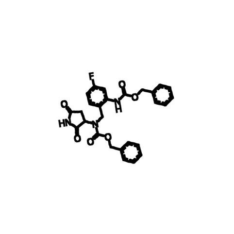 O=C1CC(N(Cc2ccc(F)cc2NC(=O)OCc2ccccc2)C(=O)OCc2ccccc2)C(=O)N1